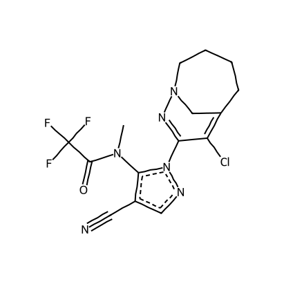 CN(C(=O)C(F)(F)F)c1c(C#N)cnn1C1=NN2CCCCC(=C1Cl)C2